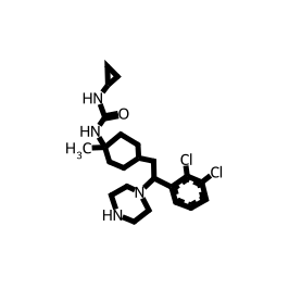 CC1(NC(=O)NC2CC2)CCC(CC(c2cccc(Cl)c2Cl)N2CCNCC2)CC1